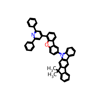 CC1(C)c2ccccc2-c2cc3c4ccccc4n(-c4ccc5oc6c(-c7cc(-c8ccccc8)nc(-c8ccccc8)c7)cccc6c5c4)c3cc21